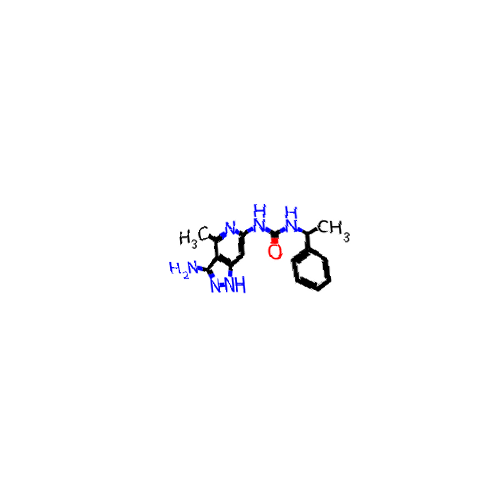 Cc1nc(NC(=O)NC(C)c2ccccc2)cc2[nH]nc(N)c12